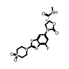 CNC(=O)[C@H]1CN(c2cc(F)c3nc(N4CCS(=O)(=O)CC4)sc3c2)C(=O)O1